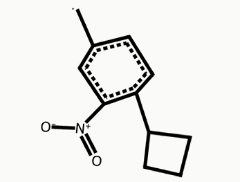 [CH2]c1ccc(C2CCC2)c([N+](=O)[O-])c1